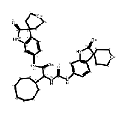 O=C(Nc1ccc2c(c1)NC(=O)C21CCOCC1)NC(C(=O)Nc1ccc2c(c1)NC(=O)C21CCOCC1)C1CCCCCCC1